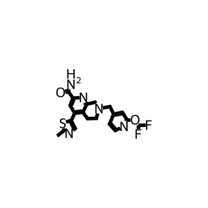 Cc1ncc(-c2cc(C(N)=O)nc3c2CCN(Cc2ccnc(OC(F)F)c2)C3)s1